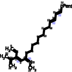 C=C/C(=C\C(CCCCCCCC/C=C/C=C/CCCCC)=N/C)C(=C)C